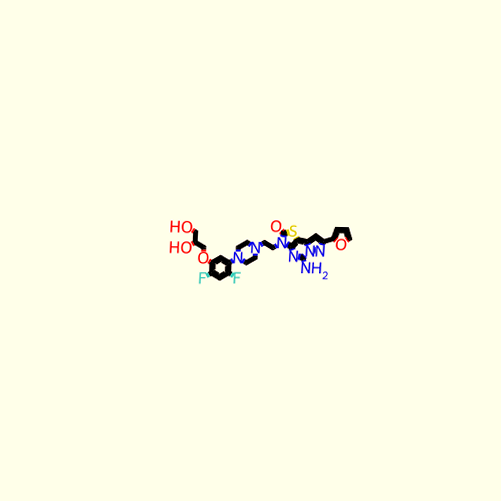 Nc1nc2c(sc(=O)n2CCN2CCN(c3cc(OCC(O)CO)c(F)cc3F)CC2)c2cc(-c3ccco3)nn12